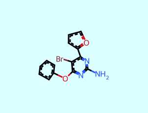 Nc1nc(Oc2ccccc2)c(Br)c(-c2ccco2)n1